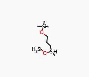 C[SiH](CCCO[Si](C)(C)C)O[SiH3]